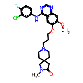 COc1cc2ncnc(Nc3ccc(F)c(Cl)c3)c2cc1OCCCN1CCC2(CC1)CC(=O)N(C)C2